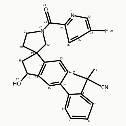 CC(C)(C#N)c1ccccc1-c1ccc2c(c1)C(O)CC21CCN(C(=O)c2ccc(F)cn2)C1